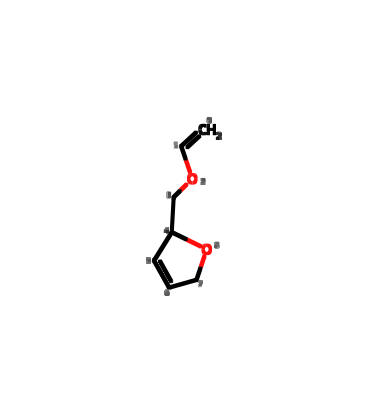 C=COCC1C=CCO1